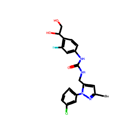 CC(C)(C)c1cc(CNC(=O)Nc2ccc(C(O)CO)c(F)c2)n(-c2cccc(Cl)c2)n1